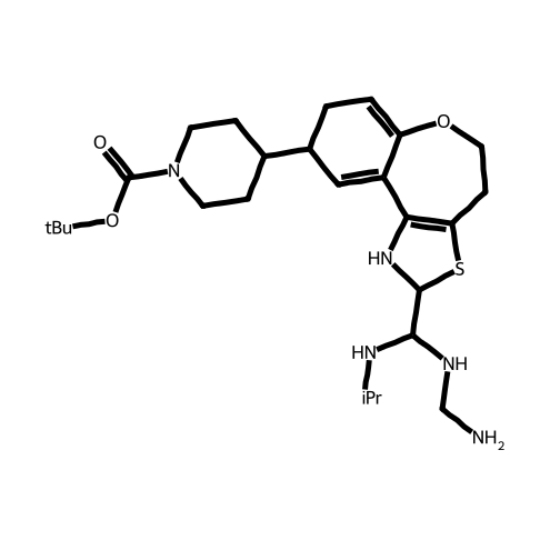 CC(C)NC(NCN)C1NC2=C(CCOC3=CCC(C4CCN(C(=O)OC(C)(C)C)CC4)C=C32)S1